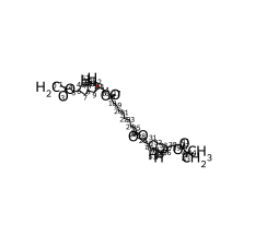 C=CC(=O)OCC1CC2C3C[C@@H](CC3COC(=O)CCCCCCCCC(=O)OCC3CC4C5C[C@@H](CC5COC(=O)C(=C)C)[C@H]4C3)[C@H]2C1